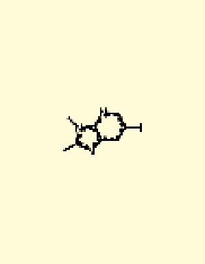 Cc1nc2cc(I)cnc2n1C